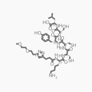 COCCOCCn1cc(CCC(=O)N[C@@H](CCCCN)C(=O)N[C@@H](CS)C(=O)N[C@@H](CS)C(=O)N[C@H](Cc2ccc(O)cc2)C(=O)N[C@@H](CO)C(=O)N[C@@H](CC(C)C)C(=O)O)nn1